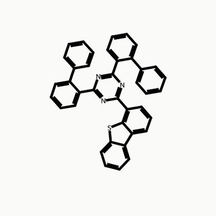 c1ccc(-c2ccccc2-c2nc(-c3ccccc3-c3ccccc3)nc(-c3cccc4c3sc3ccccc34)n2)cc1